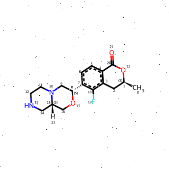 C[C@H]1Cc2c(ccc([C@H]3CN4CCNC[C@H]4CO3)c2F)C(=O)O1